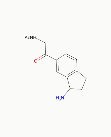 CC(=O)NCC(=O)c1ccc2c(c1)C(N)CC2